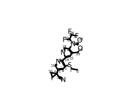 CCSc1cc(C2(C#N)CC2)cnc1-c1cc2c(cn1)N(C(F)C(F)F)C(=O)OC2